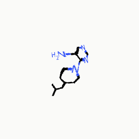 C[C](C)CC1CCN(c2ncncc2N)CC1